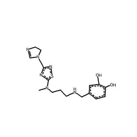 CN(CCCNCc1ccc(O)c(O)c1)c1nc(N2C=NCC2)ns1